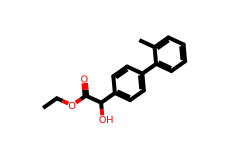 CCOC(=O)C(O)c1ccc(-c2ccccc2C)cc1